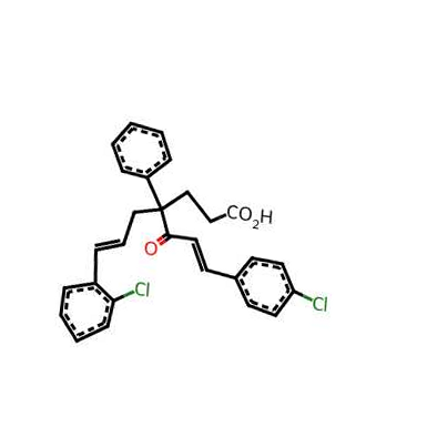 O=C(O)CCC(CC=Cc1ccccc1Cl)(C(=O)C=Cc1ccc(Cl)cc1)c1ccccc1